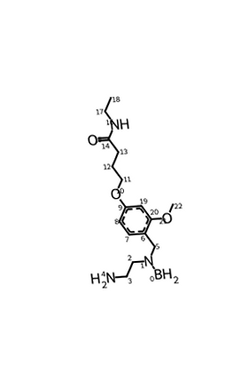 BN(CCN)Cc1ccc(OCCCC(=O)NCC)cc1OC